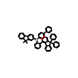 CC1(C)c2ccccc2-c2ccc(N(c3ccc(-c4ccccc4)cc3)c3ccccc3-c3cccc4c3-c3ccccc3C4(c3ccccc3)c3ccccc3)cc21